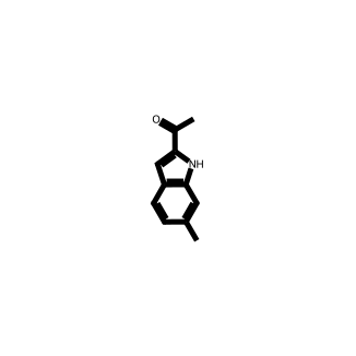 CC(=O)c1cc2ccc(C)cc2[nH]1